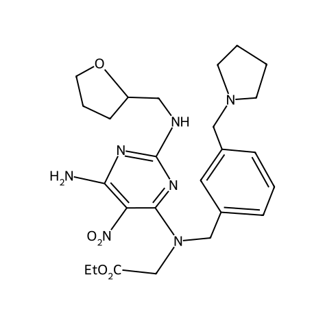 CCOC(=O)CN(Cc1cccc(CN2CCCC2)c1)c1nc(NCC2CCCO2)nc(N)c1[N+](=O)[O-]